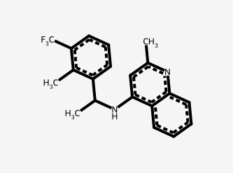 Cc1cc(NC(C)c2cccc(C(F)(F)F)c2C)c2ccccc2n1